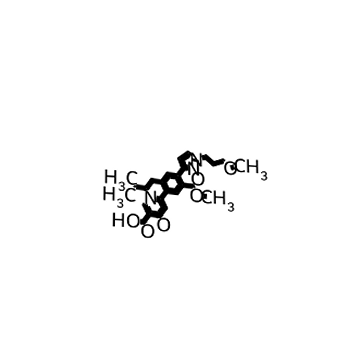 COCCCn1ccc(-c2cc3c(cc2C(=O)OC)-c2cc(=O)c(C(=O)O)cn2C(C(C)C)C3)n1